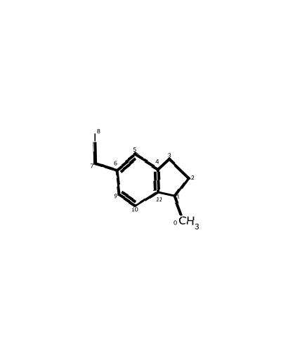 CC1CCc2cc(CI)ccc21